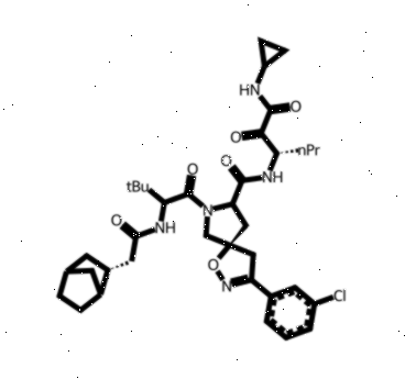 CCC[C@H](NC(=O)C1C[C@]2(CC(c3cccc(Cl)c3)=NO2)CN1C(=O)C(NC(=O)C[C@H]1CC2CCC1C2)C(C)(C)C)C(=O)C(=O)NC1CC1